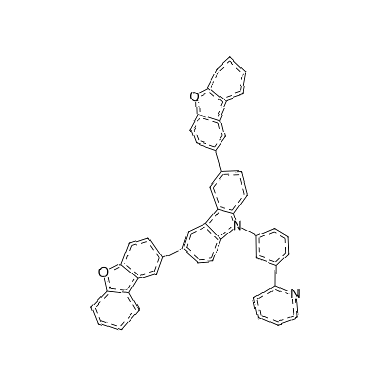 c1ccc(-c2cccc(-n3c4ccc(-c5ccc6oc7ccccc7c6c5)cc4c4cc(-c5ccc6oc7ccccc7c6c5)ccc43)c2)nc1